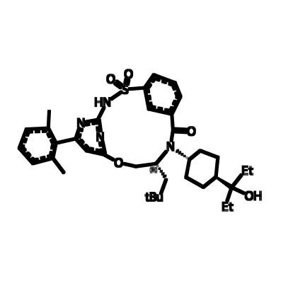 CCC(O)(CC)[C@H]1CC[C@H](N2C(=O)c3cccc(c3)S(=O)(=O)Nc3nc(cc(-c4c(C)cccc4C)n3)OC[C@H]2CC(C)(C)C)CC1